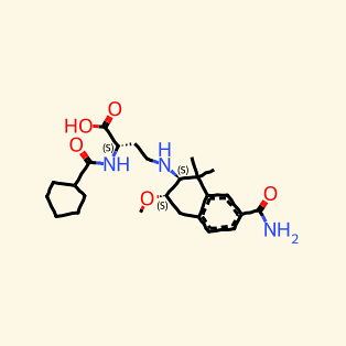 CO[C@H]1Cc2ccc(C(N)=O)cc2C(C)(C)[C@@H]1NCC[C@H](NC(=O)C1CCCCC1)C(=O)O